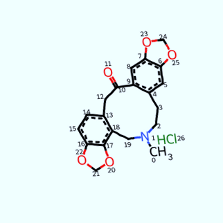 CN1CCc2cc3c(cc2C(=O)Cc2ccc4c(c2C1)OCO4)OCO3.Cl